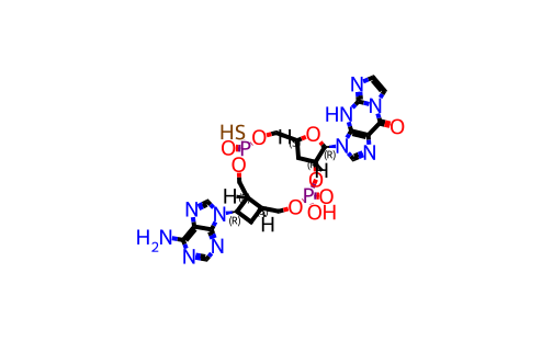 Nc1ncnc2c1ncn2[C@@H]1C[C@@H]2COP(=O)(O)O[C@@H]3C[C@@H](COP(=O)(S)OC[C@H]21)O[C@H]3n1cnc2c(=O)n3ccnc3[nH]c21